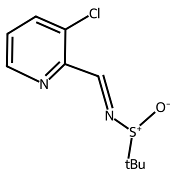 CC(C)(C)[S+]([O-])N=Cc1ncccc1Cl